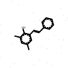 Cc1cc(C)c(O)c(C=Cc2ccccc2)c1